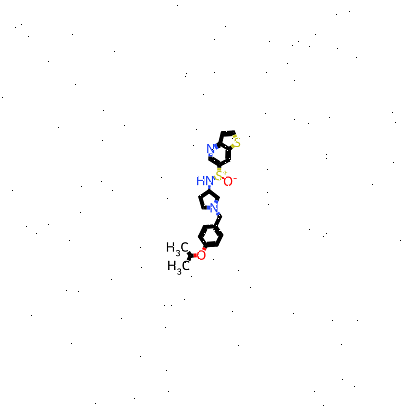 CC(C)Oc1ccc(CN2CC[C@@H](N[S@@+]([O-])c3cnc4ccsc4c3)C2)cc1